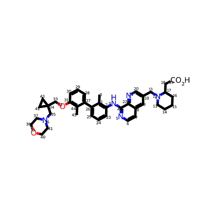 Cc1c(Nc2nccc3cc(CN4CCCCC4CC(=O)O)cnc23)cccc1-c1cccc(OCC2(CN3CCOCC3)CC2)c1C